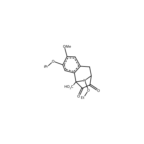 CCON1C2Cc3cc(OC)c(OC(C)C)cc3C1(C(=O)O)C(=O)C2=O